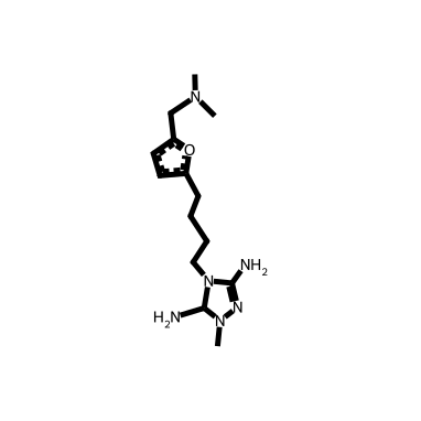 CN(C)Cc1ccc(CCCCN2C(N)=NN(C)C2N)o1